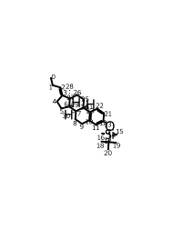 CCC=C1CC[C@H]2[C@@H]3CCc4cc(O[Si](C)(C)C(C)(C)C)ccc4[C@H]3CC[C@]12C